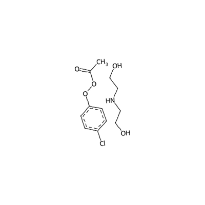 CC(=O)OOc1ccc(Cl)cc1.OCCNCCO